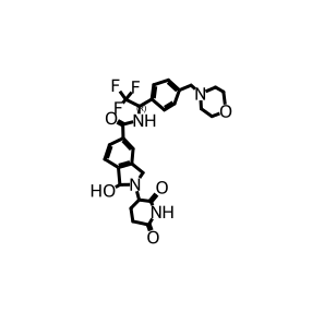 O=C1CCC(N2Cc3cc(C(=O)N[C@H](c4ccc(CN5CCOCC5)cc4)C(F)(F)F)ccc3C2O)C(=O)N1